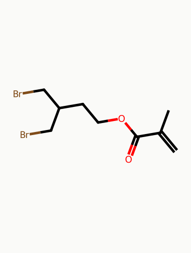 C=C(C)C(=O)OCCC(CBr)CBr